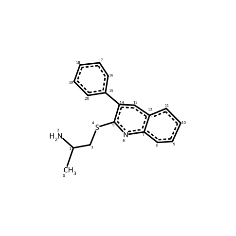 CC(N)CSc1nc2ccccc2cc1-c1ccccc1